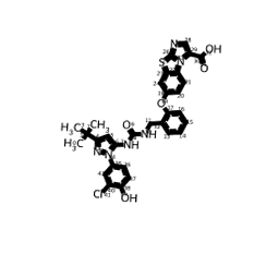 CC(C)(C)c1cc(NC(=O)NCc2ccccc2Oc2ccc3c(c2)sc2ncc(C(=O)O)n23)n(-c2ccc(O)c(Cl)c2)n1